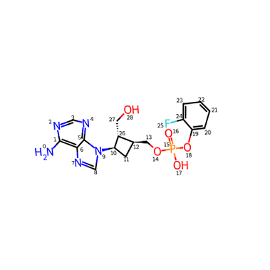 Nc1ncnc2c1ncn2[C@@H]1C[C@H](COP(=O)(O)Oc2ccccc2F)[C@H]1CO